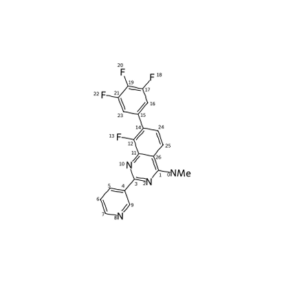 CNc1nc(-c2cccnc2)nc2c(F)c(-c3cc(F)c(F)c(F)c3)ccc12